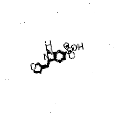 O=S(=O)(O)c1ccc2c(C=C3CCOC3)n[nH]c2c1